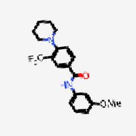 COc1cccc(NC(=O)c2ccc(N3CCCCC3)c(C(F)(F)F)c2)c1